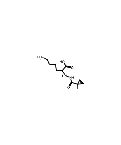 CC1(C(=O)NNC(CCCCN)C(=O)O)C=C1